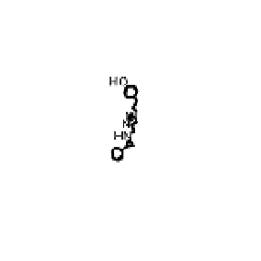 Oc1ccc(CCCn2cc(CNC3CC3c3ccccc3)nn2)cc1